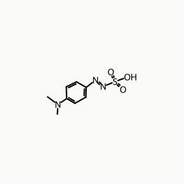 CN(C)c1ccc(/N=N/S(=O)(=O)O)cc1